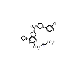 Cc1nc2c(c(N3CCC3)n1)CN(C(=O)[C@@H]1CCN(c3ccnc(Cl)c3)C1)C2.O=C(O)/C=C/C(=O)O